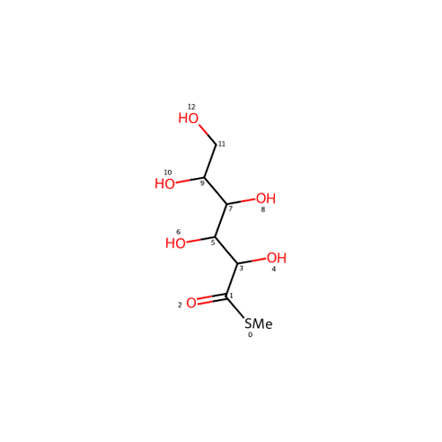 CSC(=O)C(O)C(O)C(O)C(O)CO